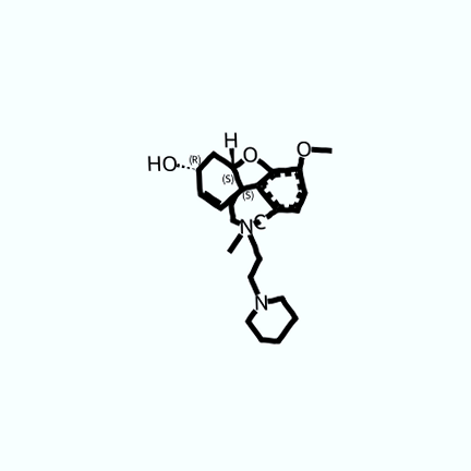 COc1ccc2c3c1O[C@H]1C[C@@H](O)C=C[C@@]31CC[N+](C)(CCN1CCCCC1)C2